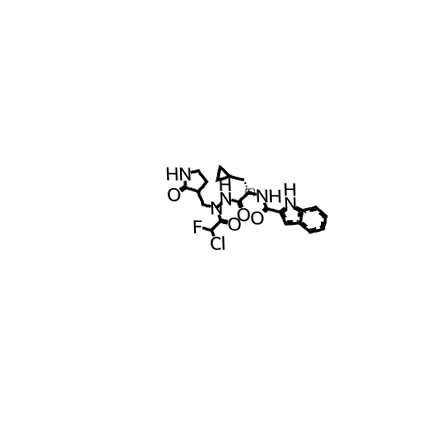 O=C(N[C@@H](CC1CC1)C(=O)NN(CC1CCNC1=O)C(=O)C(F)Cl)c1cc2ccccc2[nH]1